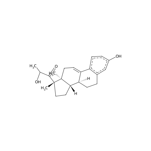 CC(O)C(=O)[C@@]1(C)CC[C@H]2[C@@H]3CCc4cc(O)ccc4C3=CC[C@@]21C